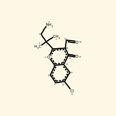 CC(C)(CN)c1oc2ccc(Cl)cc2c(=O)c1C=O